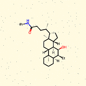 CC[C@@H]1[C@H](O)[C@H]2[C@@H](CC[C@]3(C)[C@@H]2CC[C@H]3[C@@H](C)CCC(=O)NC(C)C)[C@]2(C)CCCC[C@H]12